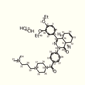 CCOc1ccc(C2=NN(c3ccc(C(=O)N4CCN(CCCN(C)C)CC4)cc3)C(=O)[C@@H]3CC=CC[C@H]23)cc1OCC.Cl.Cl